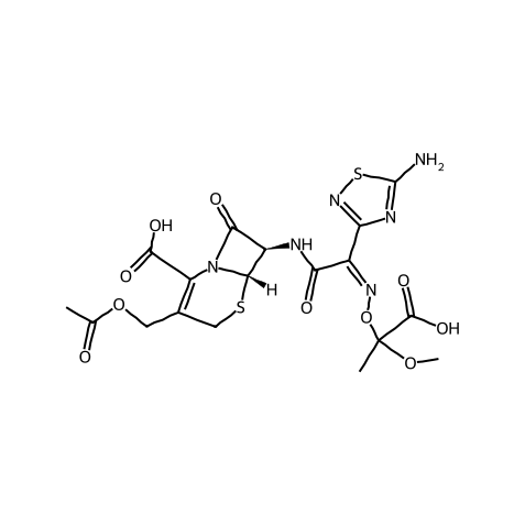 COC(C)(O/N=C(\C(=O)N[C@@H]1C(=O)N2C(C(=O)O)=C(COC(C)=O)CS[C@@H]12)c1nsc(N)n1)C(=O)O